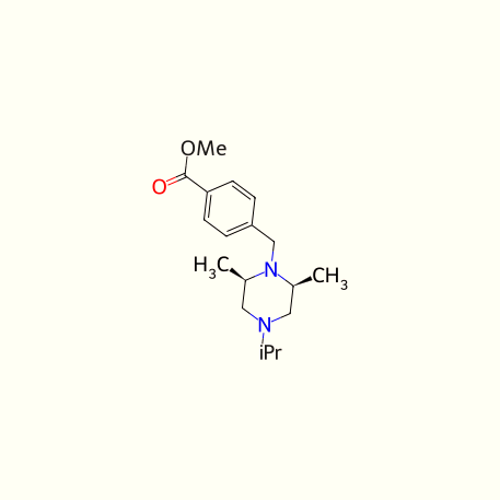 COC(=O)c1ccc(CN2[C@H](C)CN(C(C)C)C[C@@H]2C)cc1